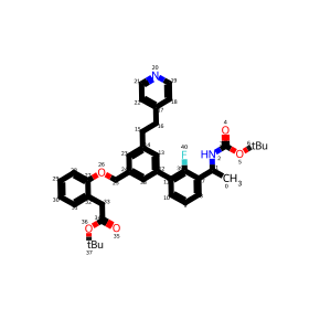 CC(NC(=O)OC(C)(C)C)c1cccc(-c2cc(CCc3ccncc3)cc(COc3ccccc3CC(=O)OC(C)(C)C)c2)c1F